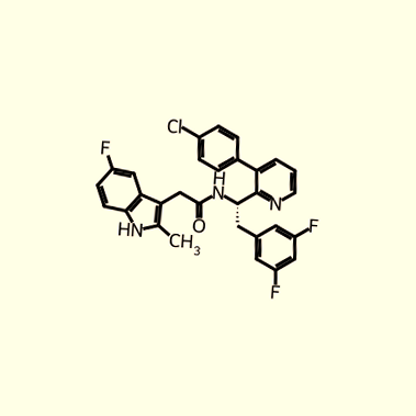 Cc1[nH]c2ccc(F)cc2c1CC(=O)N[C@@H](Cc1cc(F)cc(F)c1)c1ncccc1-c1ccc(Cl)cc1